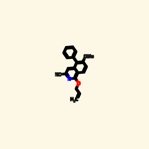 C=CCOc1nc(C#N)cc2c(-c3ccccc3)c(OC)ccc12